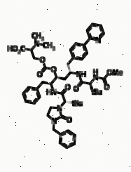 COC(=O)N[C@H](C(=O)N[C@@H](Cc1ccc(-c2ccccn2)cc1)C[C@H](OC(=O)OCC(C(=O)O)N(C)C)[C@H](Cc1ccccc1)NC(=O)[C@@H](N1CCN(Cc2ccccc2)C1=O)C(C)(C)C)C(C)(C)C